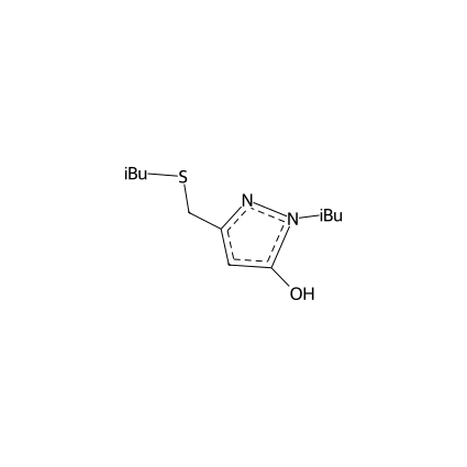 CCC(C)SCc1cc(O)n(C(C)CC)n1